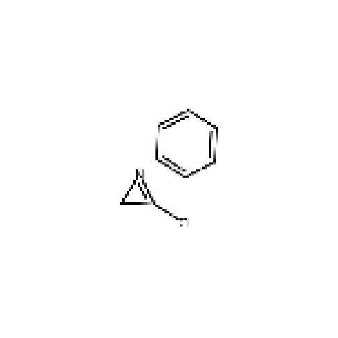 ClC1=NC1.c1ccccc1